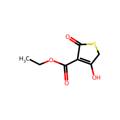 CCOC(=O)C1=C(O)CSC1=O